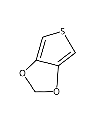 c1scc2c1OCO2